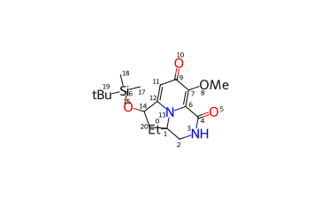 CCC12CNC(=O)c3c(OC)c(=O)cc(n31)C(O[Si](C)(C)C(C)(C)C)C2